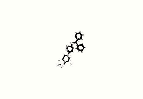 C[C@@H]1CN(c2ccc(N=C(c3ccccc3)c3ccccc3)nn2)C[C@H](C)N1C(=O)O